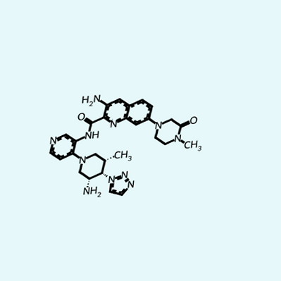 C[C@H]1CN(c2ccncc2NC(=O)c2nc3cc(N4CCN(C)C(=O)C4)ccc3cc2N)C[C@@H](N)[C@H]1n1ccnn1